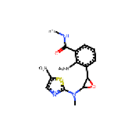 CCCNC(=O)c1cccc(C2OC2N(C)c2ncc([N+](=O)[O-])s2)c1NC(C)=O